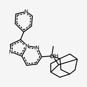 COC12CC3CC(C1)C(Nc1ccc4ncc(-c5ccncc5)n4n1)C(C3)C2